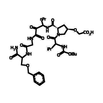 CCCC(NC(=O)[C@@H]1C[C@@H](OCC(=O)O)CN1C(=O)C(NC(=O)OCC(C)C)C(C)C)C(=O)C(=O)NCC(=O)NC(COCc1ccccc1)C(N)=O